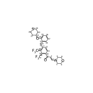 O=C(C=CN1CCOCC1)c1ccc(Sc2ccccc2OC2CCSCC2)c(C(F)(F)F)c1C(F)(F)F